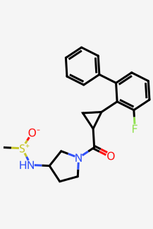 C[S+]([O-])NC1CCN(C(=O)C2CC2c2c(F)cccc2-c2ccccc2)C1